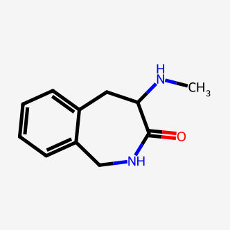 CNC1Cc2ccccc2CNC1=O